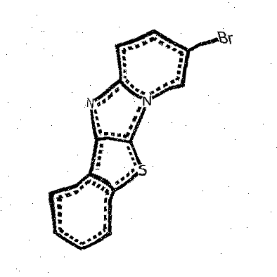 Brc1ccc2nc3c4ccccc4sc3n2c1